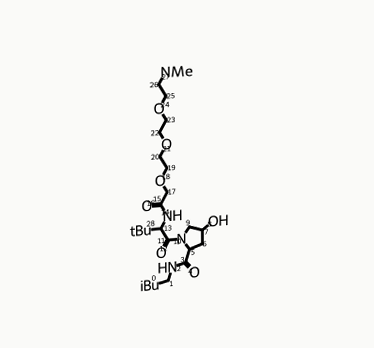 CCC(C)CNC(=O)C1CC(O)CN1C(=O)C(NC(=O)COCCOCCOCCNC)C(C)(C)C